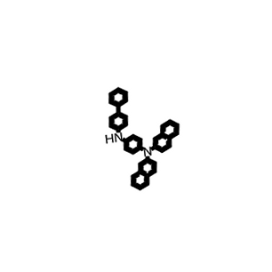 c1ccc(-c2ccc(Nc3ccc(N(c4ccc5ccccc5c4)c4ccc5ccccc5c4)cc3)cc2)cc1